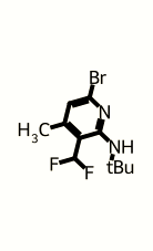 Cc1cc(Br)nc(NC(C)(C)C)c1C(F)F